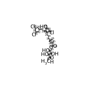 CC[C@@H](O)[C@H](O)[C@@H](O)[C@@H](O)COC(=O)c1ccc(CCC[C@@H]2[C@@H](CCc3cc(Cl)cc(Cl)c3)[C@H](O)C[C@H]2Cl)s1